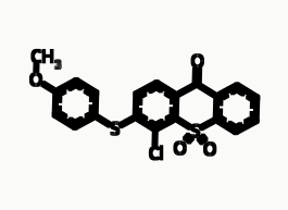 COc1ccc(Sc2ccc3c(c2Cl)S(=O)(=O)c2ccccc2C3=O)cc1